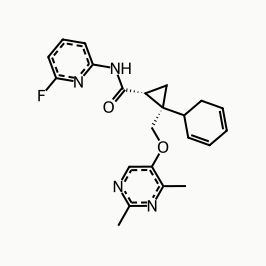 Cc1ncc(OC[C@@]2(C3C=CC=CC3)C[C@H]2C(=O)Nc2cccc(F)n2)c(C)n1